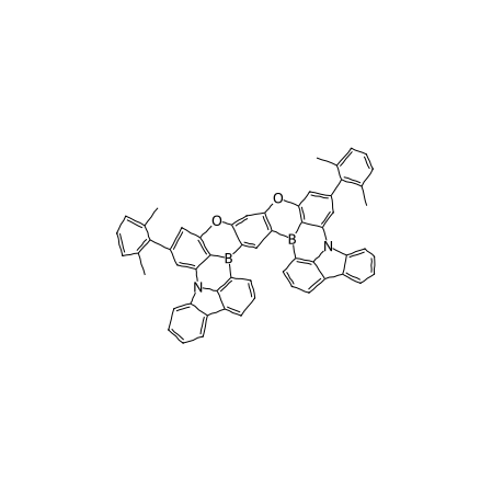 Cc1cccc(C)c1-c1cc2c3c(c1)-n1c4ccccc4c4cccc(c41)B3c1cc3c(cc1O2)Oc1cc(-c2c(C)cccc2C)cc2c1B3c1cccc3c4ccccc4n-2c13